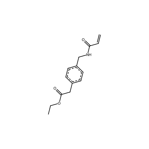 C=CC(=O)NCc1ccc(CC(=O)OCC)cc1